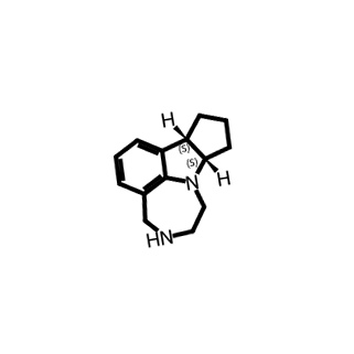 c1cc2c3c(c1)[C@@H]1CCC[C@@H]1N3CCNC2